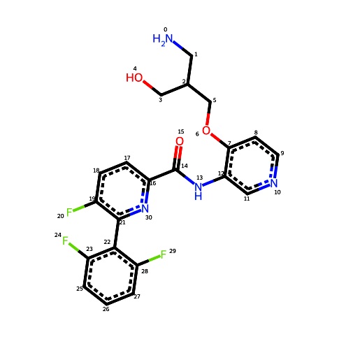 NCC(CO)COc1ccncc1NC(=O)c1ccc(F)c(-c2c(F)cccc2F)n1